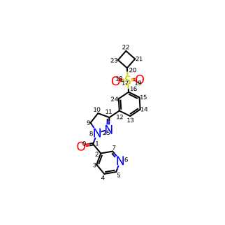 O=C(c1cccnc1)N1CCC(c2cccc(S(=O)(=O)C3CCC3)c2)=N1